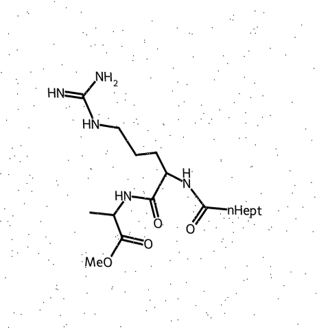 CCCCCCCC(=O)NC(CCCNC(=N)N)C(=O)NC(C)C(=O)OC